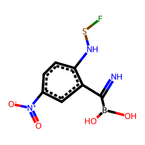 N=C(B(O)O)c1cc([N+](=O)[O-])ccc1NSF